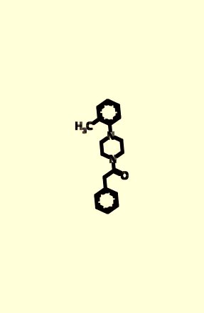 Cc1ccccc1N1CCN(C(=O)Cc2ccccc2)CC1